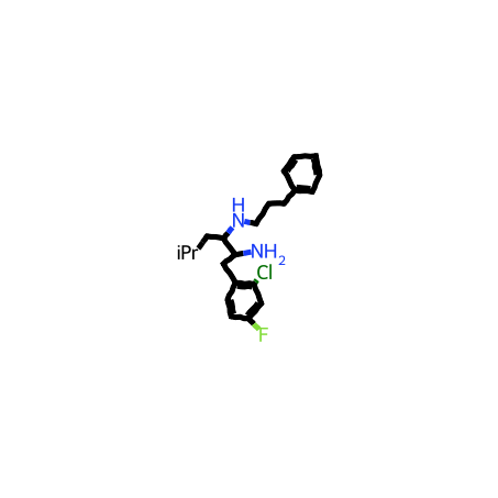 CC(C)CC(NCCCc1ccccc1)C(N)Cc1ccc(F)cc1Cl